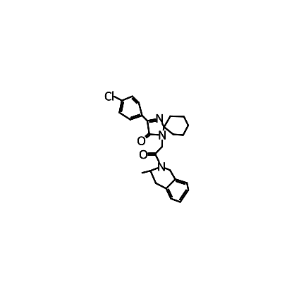 CC1Cc2ccccc2CN1C(=O)CN1C(=O)C(c2ccc(Cl)cc2)=NC12CCCCC2